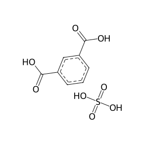 O=C(O)c1cccc(C(=O)O)c1.O=S(=O)(O)O